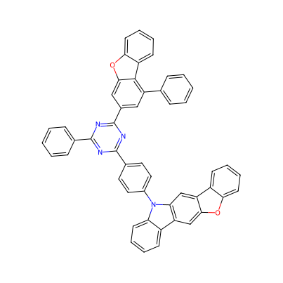 c1ccc(-c2nc(-c3ccc(-n4c5ccccc5c5cc6oc7ccccc7c6cc54)cc3)nc(-c3cc(-c4ccccc4)c4c(c3)oc3ccccc34)n2)cc1